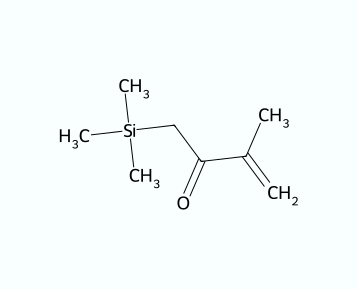 C=C(C)C(=O)C[Si](C)(C)C